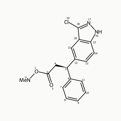 CNOC(=O)C[C@H](c1ccccc1)c1ccc2[nH]nc(Cl)c2c1